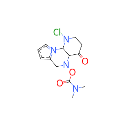 CN(C)C(=O)ON1Cc2cccn2C2C1C(=O)CCN2Cl